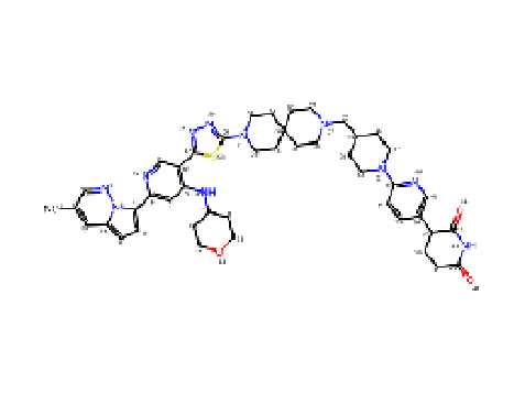 N#Cc1cnn2c(-c3cc(NC4CCOCC4)c(-c4nnc(N5CCC6(CCN(CC7CCN(c8ccc(C9CCC(=O)NC9=O)cn8)CC7)CC6)CC5)s4)cn3)ccc2c1